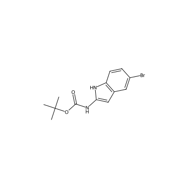 CC(C)(C)OC(=O)Nc1cc2cc(Br)ccc2[nH]1